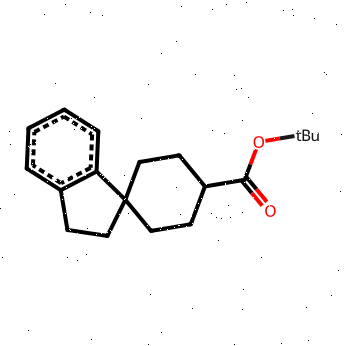 CC(C)(C)OC(=O)C1CCC2(CCc3ccccc32)CC1